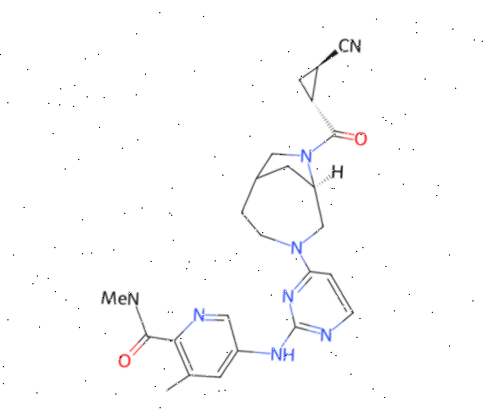 CNC(=O)c1ncc(Nc2nccc(N3CCC4C[C@H](C3)N(C(=O)[C@@H]3C[C@H]3C#N)C4)n2)cc1C